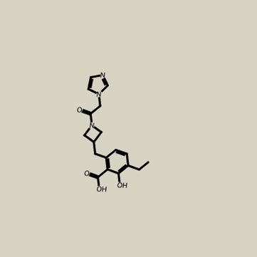 CCc1ccc(CC2CN(C(=O)Cn3ccnc3)C2)c(C(=O)O)c1O